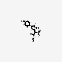 CCOC(=O)C(=C1N[C@@H](C)[C@H](c2ccc(Cl)cc2)S1)[N+](=O)[O-]